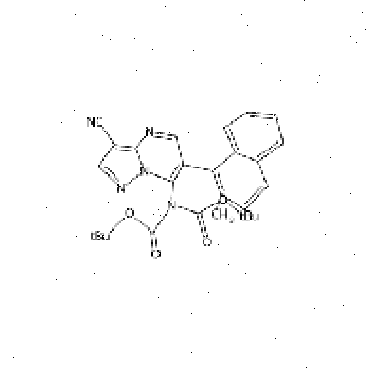 Cc1ccc2ccccc2c1-c1cnc2c(C#N)cnn2c1N(C(=O)OC(C)(C)C)C(=O)OC(C)(C)C